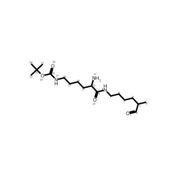 CC(C=O)CCCCNC(=O)C(N)CCCCNC(=O)OC(C)(C)C